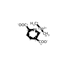 O=C([O-])c1ccc(C(=O)[O-])nc1.[CH3][Sn+2][CH3]